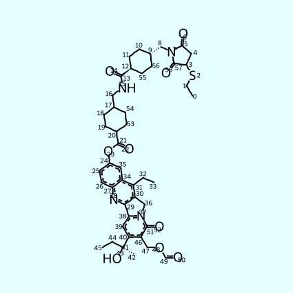 CCSC1CC(=O)N(C[C@H]2CC[C@H](C(=O)NCC3CCC(C(=O)Oc4ccc5nc6c(c(CC)c5c4)Cn4c-6cc([C@@](C)(O)CC)c(COC=O)c4=O)CC3)CC2)C1=O